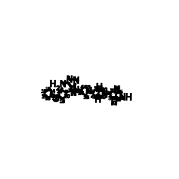 Nc1ncnc2c1c(-c1ccc(Oc3ccccc3)cc1)nn2C1CCN(C2C[C@@H]3CN(C4C[C@H]5CNC[C@H]5C4)C[C@@H]3C2)CC1